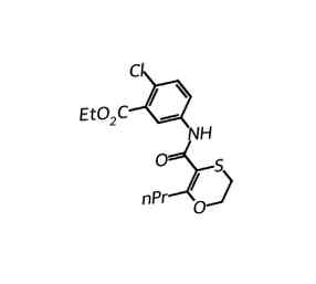 CCCC1=C(C(=O)Nc2ccc(Cl)c(C(=O)OCC)c2)SCCO1